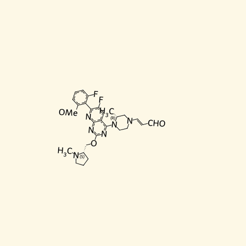 COc1cccc(F)c1-c1nc2nc(OC[C@@H]3CCCN3C)nc(N3CCN(C=CC=O)C[C@H]3C)c2cc1F